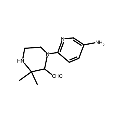 CC1(C)NCCN(c2ccc(N)cn2)C1C=O